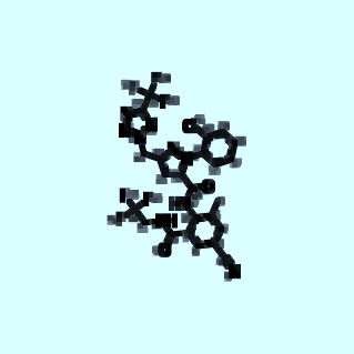 Cc1cc(C#N)cc(C(=O)NCC(F)(F)F)c1NC(=O)c1cc(Cn2nnc(C(F)(F)F)n2)nn1-c1ccccc1Cl